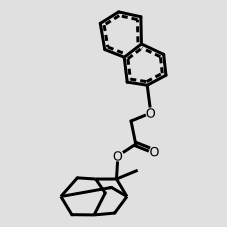 CC1(OC(=O)COc2ccc3ccccc3c2)C2CC3CC(C2)CC1C3